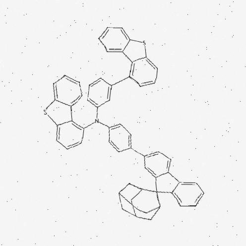 c1cc(-c2cccc3sc4ccccc4c23)cc(N(c2ccc(-c3ccc4c(c3)C3(c5ccccc5-4)C4CC5CC(C4)CC3C5)cc2)c2cccc3sc4ccccc4c23)c1